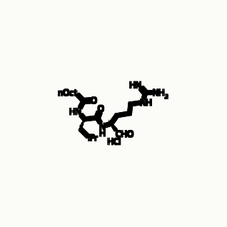 CCCCCCCCC(=O)N[C@@H](CC(C)C)C(=O)N[C@H](C=O)CCCNC(=N)N.Cl